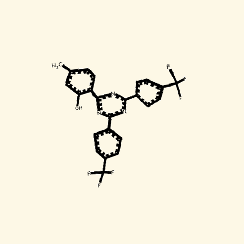 Cc1ccc(-c2nc(-c3ccc(C(F)(F)F)cc3)nc(-c3ccc(C(F)(F)F)cc3)n2)c(O)c1